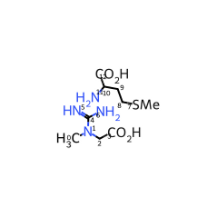 CN(CC(=O)O)C(=N)N.CSCCC(N)C(=O)O